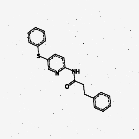 O=C(CCc1ccccc1)Nc1ccc(Sc2ccccc2)cn1